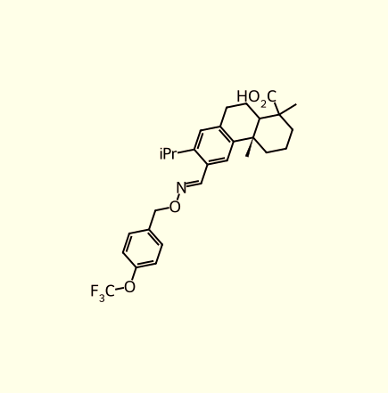 CC(C)c1cc2c(cc1/C=N/OCc1ccc(OC(F)(F)F)cc1)[C@@]1(C)CCCC(C)(C(=O)O)C1CC2